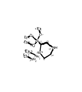 CCN.CCN.CCO[Si](OCC)(OCC)C1CNCCN1